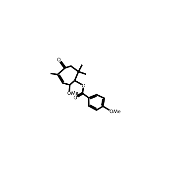 COc1ccc(C(=O)OC2C(OC)C=C(C)C(=O)CC2(C)C)cc1